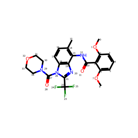 COc1cccc(OC)c1C(=O)Nc1c(C)ccc2c1nc(C(F)(F)F)n2C(=O)N1CCOCC1